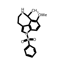 COc1ccc2c3c(cn2S(=O)(=O)c2ccccc2)CCNC(C)c13